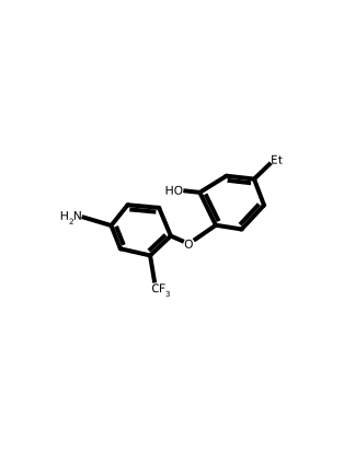 CCc1ccc(Oc2ccc(N)cc2C(F)(F)F)c(O)c1